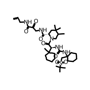 C=CCNC(=O)C(=O)CNC(=O)[C@@H]1CC(C)(C)C(C)CN1C(=O)[C@@H](NC(=O)NC1(CS(=O)(=O)C(C)(C)C)CCCCC1)C1(C)CCCCC1